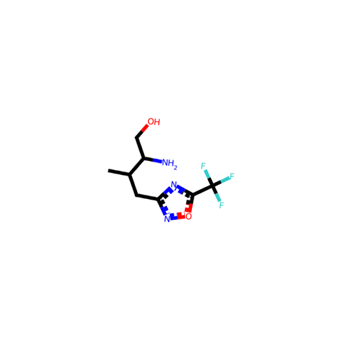 CC(Cc1noc(C(F)(F)F)n1)C(N)CO